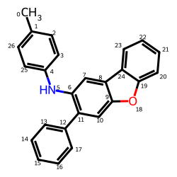 Cc1ccc(Nc2cc3c(cc2-c2ccccc2)oc2ccccc23)cc1